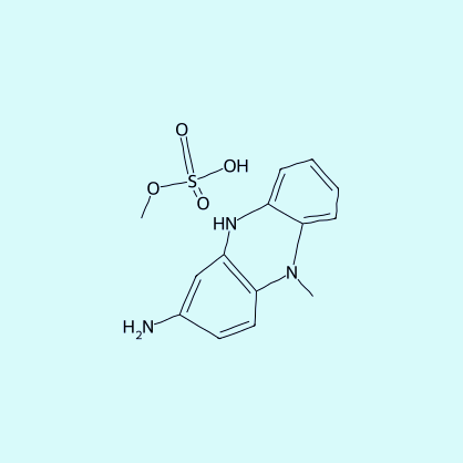 CN1c2ccccc2Nc2cc(N)ccc21.COS(=O)(=O)O